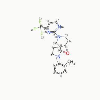 Cc1ccccc1N1CCC2(CCCN(c3nccc(C(F)(F)F)n3)C2)C1=O